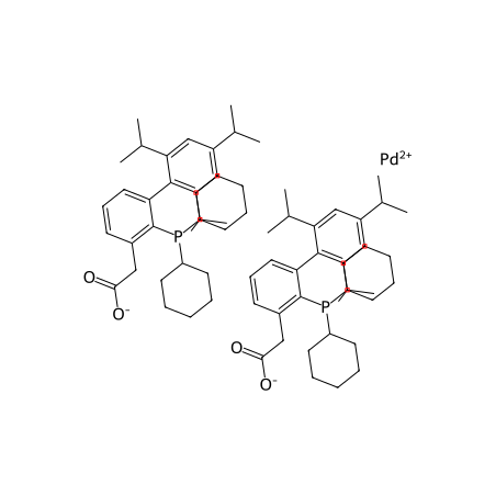 CC(C)c1cc(C(C)C)c(-c2cccc(CC(=O)[O-])c2P(C2CCCCC2)C2CCCCC2)c(C(C)C)c1.CC(C)c1cc(C(C)C)c(-c2cccc(CC(=O)[O-])c2P(C2CCCCC2)C2CCCCC2)c(C(C)C)c1.[Pd+2]